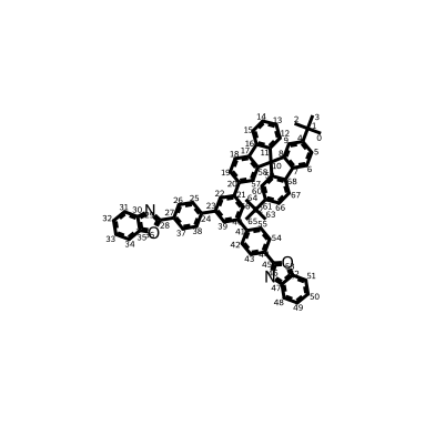 CC(C)(C)c1ccc2c(c1)C1(c3ccccc3-c3ccc(-c4cc(-c5ccc(-c6nc7ccccc7o6)cc5)cc(-c5ccc(-c6nc7ccccc7o6)cc5)c4)cc31)c1cc(C(C)(C)C)ccc1-2